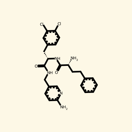 Nc1ccc(CNC(=O)[C@H](Cc2ccc(Cl)c(Cl)c2)NC(=O)[C@H](N)CCc2ccccc2)cn1